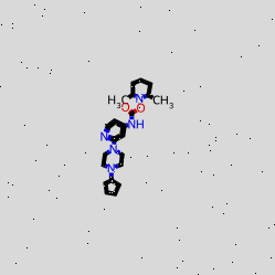 CC1CCCC(C)N1OC(=O)Nc1ccnc(N2CCN(C3CCCC3)CC2)c1